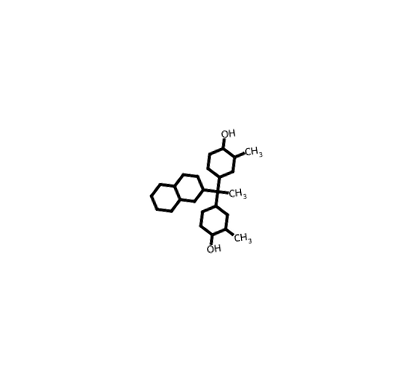 CC1CC(C(C)(C2CCC(O)C(C)C2)C2CCC3CCCCC3C2)CCC1O